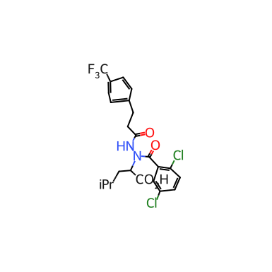 CC(C)CC(C(=O)O)N(NC(=O)CCc1ccc(C(F)(F)F)cc1)C(=O)c1cc(Cl)ccc1Cl